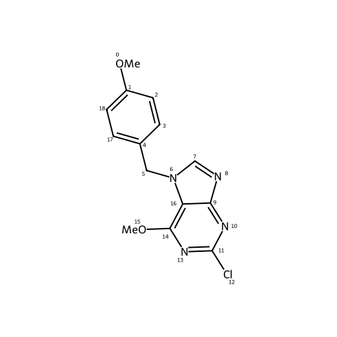 COc1ccc(Cn2cnc3nc(Cl)nc(OC)c32)cc1